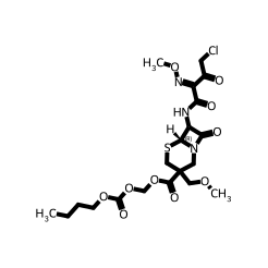 CCCCOC(=O)OCOC(=O)C1(COC)CS[C@@H]2C(NC(=O)C(=NOC)C(=O)CCl)C(=O)N2C1